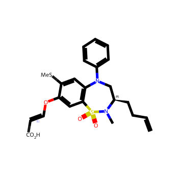 C=CCC[C@@H]1CN(c2ccccc2)c2cc(SC)c(O/C=C/C(=O)O)cc2S(=O)(=O)N1C